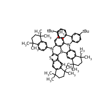 Cc1cc2c3c(c1)N(c1ccc4c(c1)C(C)(C)CCC4(C)C)c1sc4cc5c(cc4c1B3c1cc3c(cc1N2c1ccc(C(C)(C)C)cc1-c1ccc(C(C)(C)C)cc1)C(C)(C)CCC3(C)C)C(C)(C)CCC5(C)C